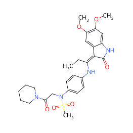 CC/C(Nc1ccc(N(CC(=O)N2CCCCC2)S(C)(=O)=O)cc1)=C1/C(=O)Nc2cc(OC)c(OC)cc21